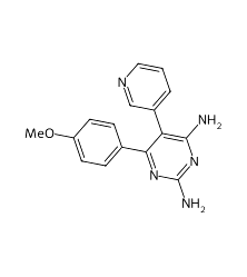 COc1ccc(-c2nc(N)nc(N)c2-c2cccnc2)cc1